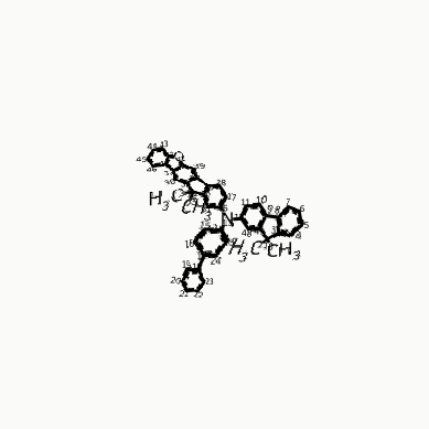 CC1(C)c2ccccc2-c2ccc(N(c3ccc(-c4ccccc4)cc3)c3ccc4c(c3)C(C)(C)c3cc5c(cc3-4)oc3ccccc35)cc21